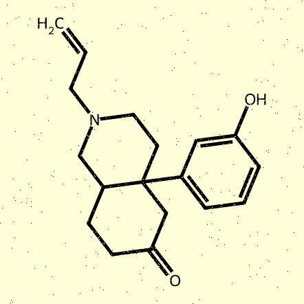 C=CCN1CCC2(c3cccc(O)c3)CC(=O)CCC2C1